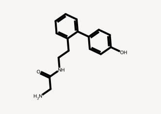 NCC(=O)NCCc1ccccc1-c1ccc(O)cc1